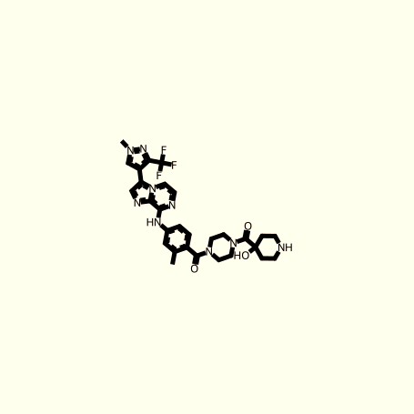 Cc1cc(Nc2nccn3c(-c4cn(C)nc4C(F)(F)F)cnc23)ccc1C(=O)N1CCN(C(=O)C2(O)CCNCC2)CC1